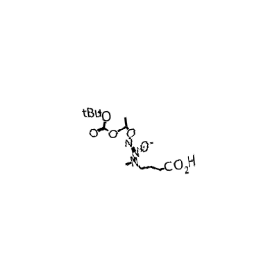 CC(ON=[N+]([O-])N(C)CCCC(=O)O)OC(=O)OC(C)(C)C